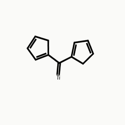 [Ti]=[C](C1=CC=CC1)C1=CC=CC1